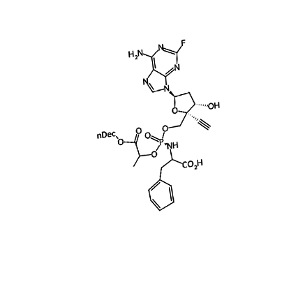 C#C[C@]1(CO[P@](=O)(NC(Cc2ccccc2)C(=O)O)OC(C)C(=O)OCCCCCCCCCC)O[C@@H](n2cnc3c(N)nc(F)nc32)C[C@@H]1O